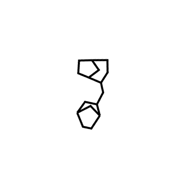 C1CC2CC1CCC2CC1CC2CCC1C2